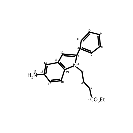 CCOC(=O)CCCn1c(-c2ccccc2)cc2cc(N)ccc21